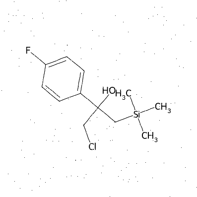 C[Si](C)(C)CC(O)(CCl)c1ccc(F)cc1